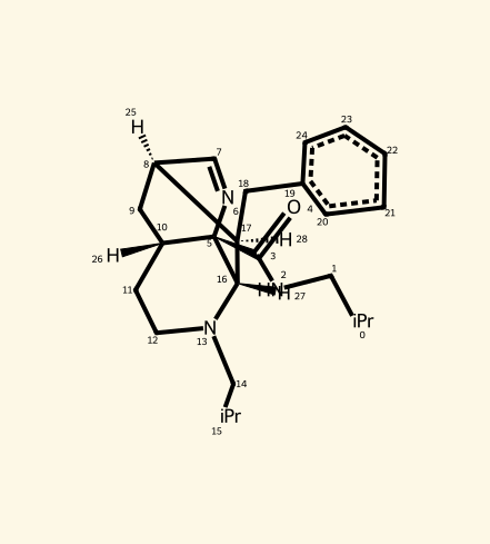 CC(C)CNC(=O)[C@]12N=C[C@@H]3C[C@H]1CCN(CC(C)C)[C@H]2[C@@H]3Cc1ccccc1